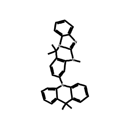 CN1c2cc(N3c4ccccc4C(C)(C)c4ccccc43)ccc2C(C)(C)n2c1nc1ccccc12